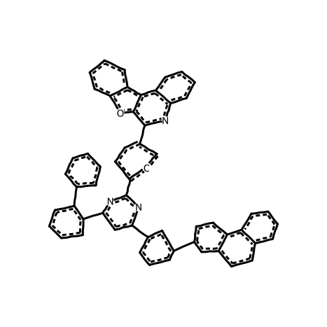 c1ccc(-c2ccccc2-c2cc(-c3cccc(-c4ccc5c(ccc6ccccc65)c4)c3)nc(-c3ccc(-c4nc5ccccc5c5c4oc4ccccc45)cc3)n2)cc1